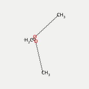 [CH2]c1cc(OCCCCCCCCCCCCCCCCCCCCCCCCCCCC)cc(OCCCCCCCCCCCCCCCCCCCCCCCCCCCC)c1